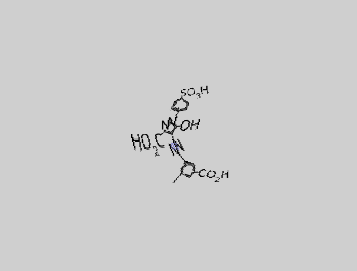 Cc1cc(/N=N/c2c(C(=O)O)nn(-c3ccc(S(=O)(=O)O)cc3)c2O)cc(C(=O)O)c1